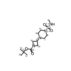 CNS(=O)(=O)N1CCN(C2CN(C(=O)OC(C)(C)C)C2)CC1